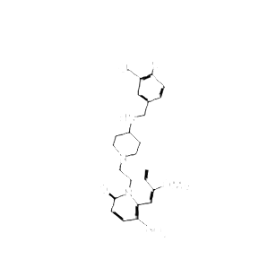 C=C/C(=C\c1c(N)ccc(=O)n1CCN1CCC(NCc2ccc(Cl)c(Cl)c2)CC1)OC